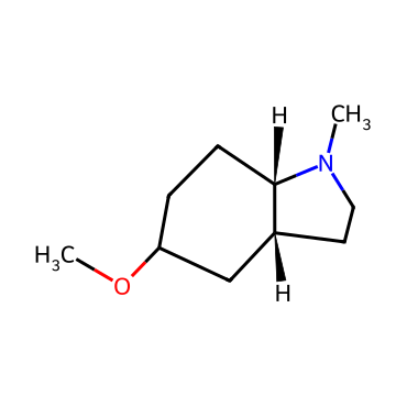 COC1CC[C@H]2[C@H](CCN2C)C1